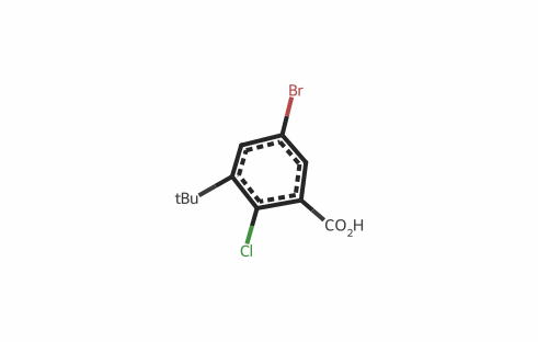 CC(C)(C)c1cc(Br)cc(C(=O)O)c1Cl